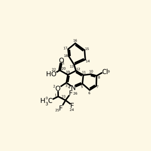 CC(Oc1nc2ccc(Cl)cc2c(-c2ccccc2)c1C(=O)O)C(F)(F)F